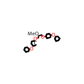 COC(COc1ccc(Oc2ccccc2)cc1)COc1ccc(Oc2ccccc2)cc1